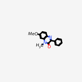 COc1ccc2nc(-c3ccccc3)c(=O)n(C)c2c1